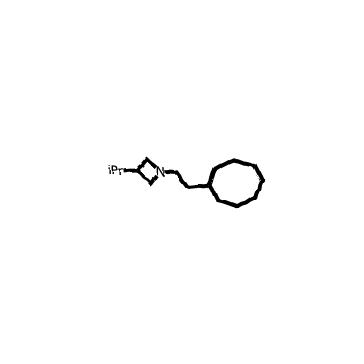 CC(C)C1CN(CCC2CCCCCCC2)C1